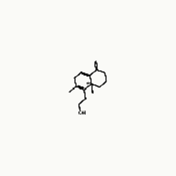 C=C1CCC[C@@]2(C)C1=CCC(C)=C2CCO